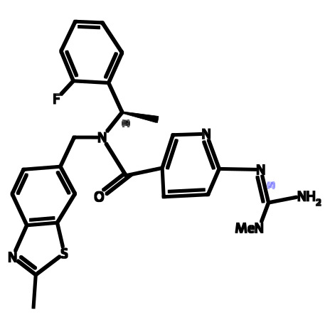 CN/C(N)=N\c1ccc(C(=O)N(Cc2ccc3nc(C)sc3c2)[C@H](C)c2ccccc2F)cn1